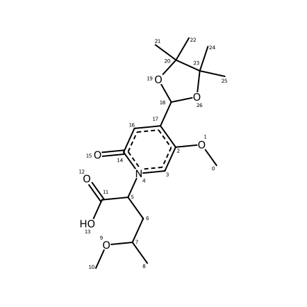 COc1cn(C(CC(C)OC)C(=O)O)c(=O)cc1C1OC(C)(C)C(C)(C)O1